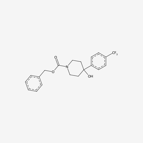 O=C(OCc1ccccc1)N1CCC(O)(c2ccc(C(F)(F)F)cc2)CC1